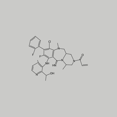 C=CC(=O)N1CC(C)N2C(=N)c3c(Nc4c(C)ccnc4C(C)O)c(F)c(-c4ccccc4F)c(Cl)c3N(C)CC2C1